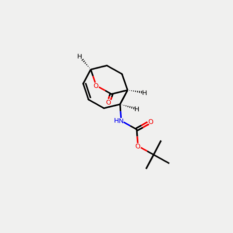 CC(C)(C)OC(=O)N[C@H]1C/C=C\[C@H]2CC[C@@H]1C(=O)O2